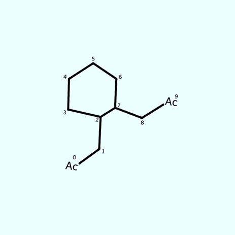 CC(=O)CC1CCCCC1CC(C)=O